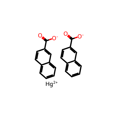 O=C([O-])c1ccc2ccccc2c1.O=C([O-])c1ccc2ccccc2c1.[Hg+2]